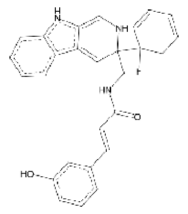 O=C(/C=C/c1cccc(O)c1)NCC1(C2(F)C=CC=CC2)C=c2c([nH]c3ccccc23)=CN1